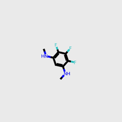 CNc1cc(NC)c(F)c(F)c1F